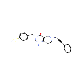 CN1CN(Cc2ccc(S(N)(=O)=O)cc2)C(=O)C2=C1CCN(CC#Cc1ccccc1)C2